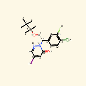 CC(C)(C)[Si](C)(C)OC[C@H](c1ccc(Cl)c(F)c1)n1ncc(I)cc1=O